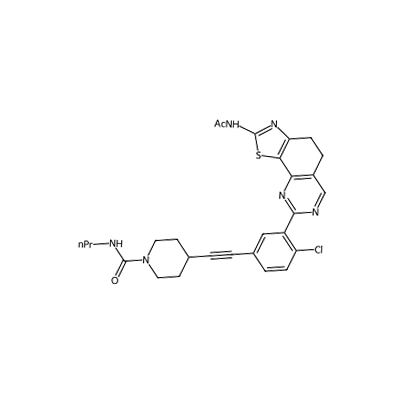 CCCNC(=O)N1CCC(C#Cc2ccc(Cl)c(-c3ncc4c(n3)-c3sc(NC(C)=O)nc3CC4)c2)CC1